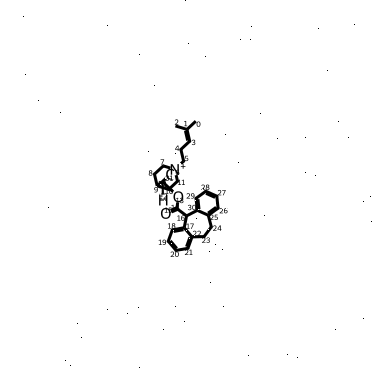 CC(C)=CCC[N+]12CCC(CC1)[C@@H](OC(=O)C1c3ccccc3CCc3ccccc31)C2